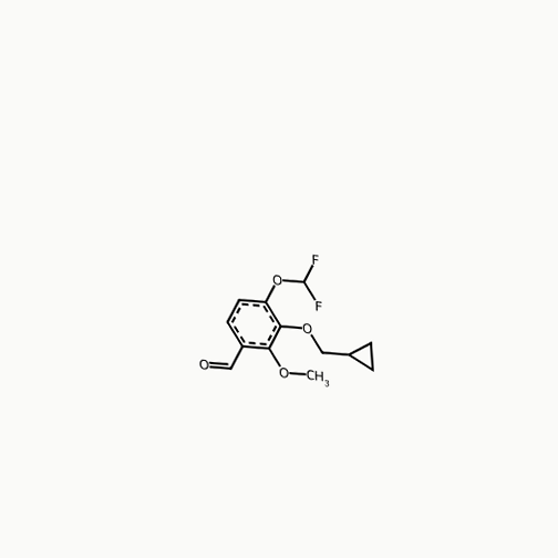 COc1c(C=O)ccc(OC(F)F)c1OCC1CC1